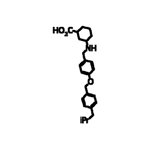 CC(C)Cc1ccc(COc2ccc(CNC3CCCC(C(=O)O)C3)cc2)cc1